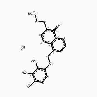 CCCc1c(OCc2cccn3c(=O)c(CCC(=O)O)cnc23)ccc(C(C)=O)c1O.[KH]